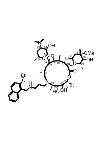 CCOc1ccc2ccccc2c1CNCCCN1C[C@H](C)C[C@@](C)(O)[C@H](O[C@@H]2O[C@H](C)C[C@H](N(C)C)[C@H]2O)[C@@H](C)[C@H](O[C@H]2C[C@@](C)(OC)[C@@H](O)[C@H](C)O2)[C@@H](C)C(=O)O[C@H](CC)[C@@](C)(O)[C@H](O)[C@H]1C